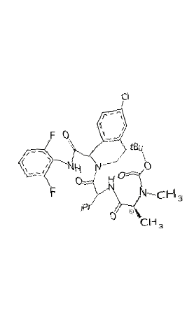 CC(C)C(NC(=O)[C@H](C)N(C)C(=O)OC(C)(C)C)C(=O)N1CCc2cc(Cl)ccc2C1C(=O)Nc1c(F)cccc1F